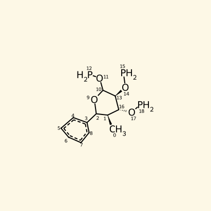 C[C@H]1C(c2ccccc2)OC(OP)[C@@H](OP)[C@@H]1OP